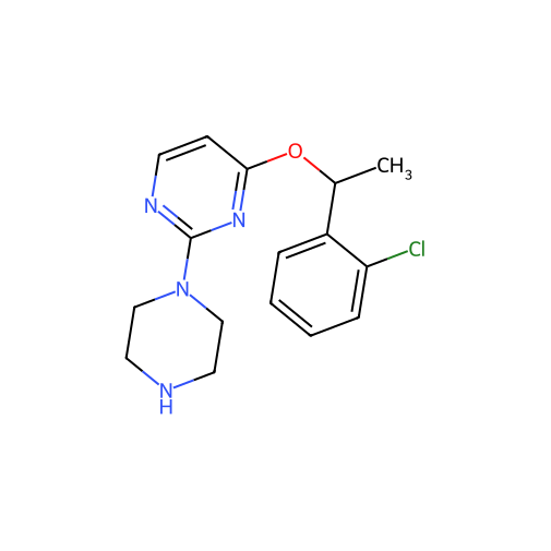 CC(Oc1ccnc(N2CCNCC2)n1)c1ccccc1Cl